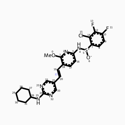 COc1nc(N[S+]([O-])c2ccc(F)c(F)c2Cl)ccc1/C=C/c1cnc(NC2CCCCC2)nc1